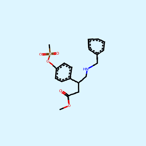 COC(=O)CC(CNCc1ccccc1)c1ccc(OS(C)(=O)=O)cc1